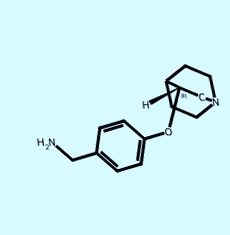 NCc1ccc(O[C@H]2CN3CCC2CC3)cc1